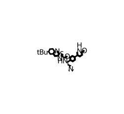 CN(C)CC[C@@H](NC(=O)c1nc2cc3c(nc2s1)CC[C@H](C(C)(C)C)C3)c1ccc(-c2ccc(=O)[nH]c2)cc1